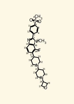 Cn1c(-c2ccc(S(C)(=O)=O)cc2)nc2ccc(C3CCN(C4CCN(C5COC5)CC4)CC3)c(F)c21